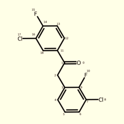 O=C(Cc1cccc(Cl)c1F)c1ccc(F)c(Cl)c1